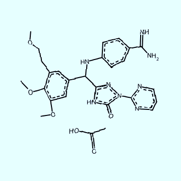 CC(=O)O.COCCc1cc(C(Nc2ccc(C(=N)N)cc2)c2nn(-c3ncccn3)c(=O)[nH]2)cc(OC)c1OC